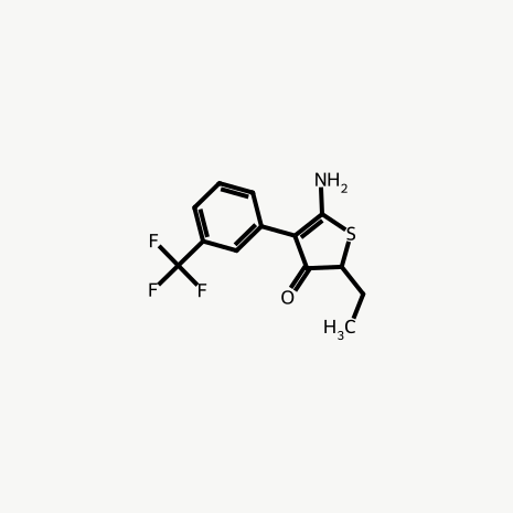 CCC1SC(N)=C(c2cccc(C(F)(F)F)c2)C1=O